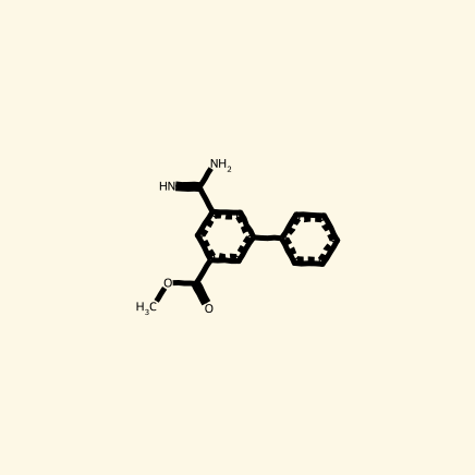 COC(=O)c1cc(C(=N)N)cc(-c2ccccc2)c1